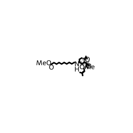 COC(=O)CCCCCCCCCN[C@@H]1CC[C@]2(CO2)[C@@H]([C@@]2(C)O[C@@H]2CC=C(C)C)[C@@H]1OC